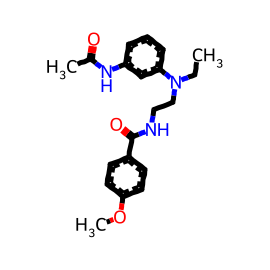 CCN(CCNC(=O)c1ccc(OC)cc1)c1cccc(NC(C)=O)c1